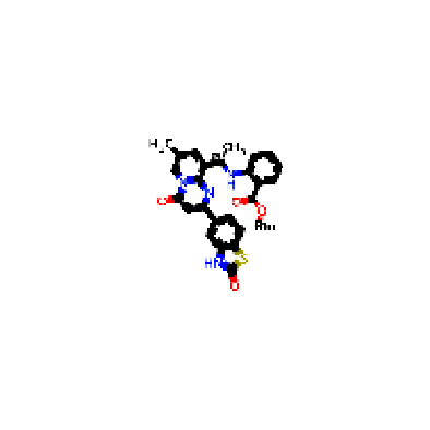 Cc1cc([C@H](C)Nc2ccccc2C(=O)OC(C)(C)C)c2nc(-c3ccc4sc(=O)[nH]c4c3)cc(=O)n2c1